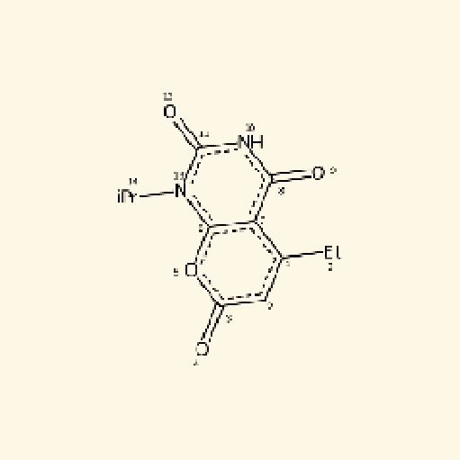 CCc1cc(=O)oc2c1c(=O)[nH]c(=O)n2C(C)C